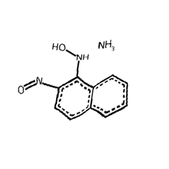 N.O=Nc1ccc2ccccc2c1NO